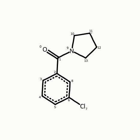 O=C(c1cccc(Cl)c1)N1C[CH]CC1